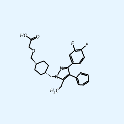 CCc1c(-c2ccccc2)c(-c2ccc(F)c(F)c2)nn1C[C@H]1CC[C@H](COCC(=O)O)CC1